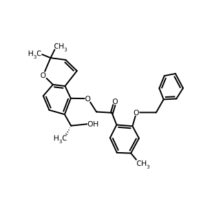 Cc1ccc(C(=O)COc2c([C@@H](C)O)ccc3c2C=CC(C)(C)O3)c(OCc2ccccc2)c1